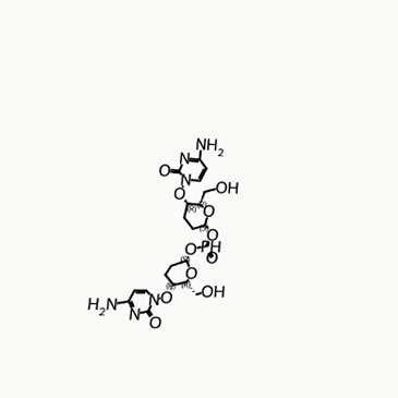 Nc1ccn(O[C@@H]2CC[C@H](O[PH](=O)O[C@H]3CC[C@@H](On4ccc(N)nc4=O)[C@@H](CO)O3)O[C@@H]2CO)c(=O)n1